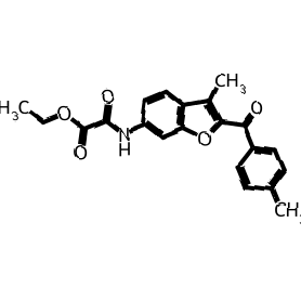 CCOC(=O)C(=O)Nc1ccc2c(C)c(C(=O)c3ccc(C)cc3)oc2c1